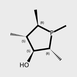 C[C@H]1[C@H](O)[C@@H](C)P(C)[C@@H]1C